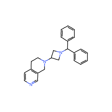 c1ccc(C(c2ccccc2)N2CC(N3CCc4ccncc4C3)C2)cc1